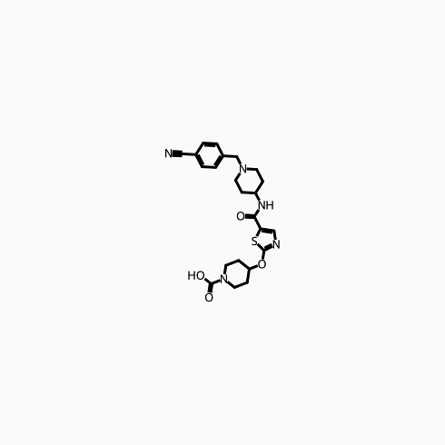 N#Cc1ccc(CN2CCC(NC(=O)c3cnc(OC4CCN(C(=O)O)CC4)s3)CC2)cc1